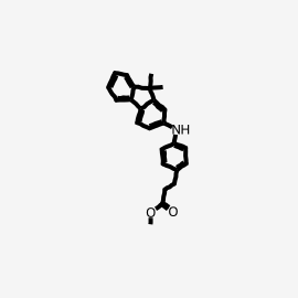 COC(=O)CCc1ccc(Nc2ccc3c(c2)C(C)(C)c2ccccc2-3)cc1